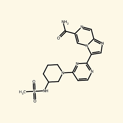 CS(=O)(=O)NC1CCCN(c2ccnc(-c3cnc4cnc(C(N)=O)cn34)n2)C1